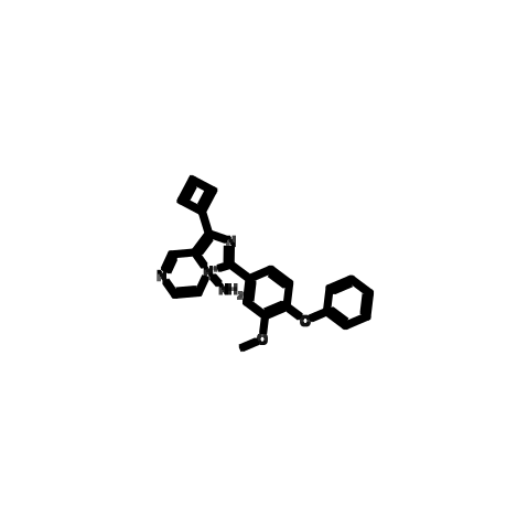 COc1cc(C2=NC(C3=CC=C3)=C3C=NC=C[N+]23N)ccc1Oc1ccccc1